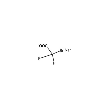 O=C([O-])C(F)(F)Br.[Na+]